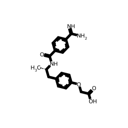 C[C@@H](Cc1ccc(OCC(=O)O)cc1)NC(=O)c1ccc(C(=N)N)cc1